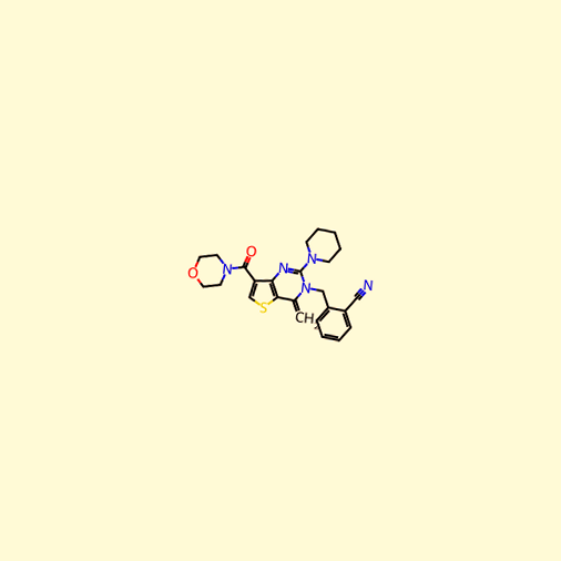 C=C1c2scc(C(=O)N3CCOCC3)c2N=C(N2CCCCC2)N1Cc1ccccc1C#N